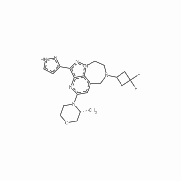 C[C@@H]1COCCN1c1cc2c3c(n1)c(-c1cc[nH]n1)nn3CCN(C1CC(F)(F)C1)C2